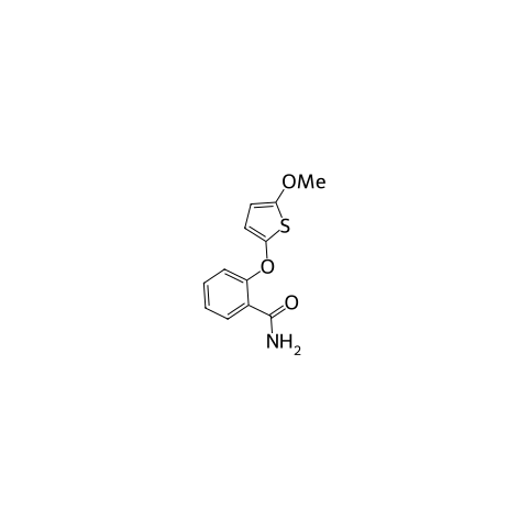 COc1ccc(Oc2ccccc2C(N)=O)s1